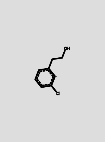 OCCc1[c]c(Cl)ccc1